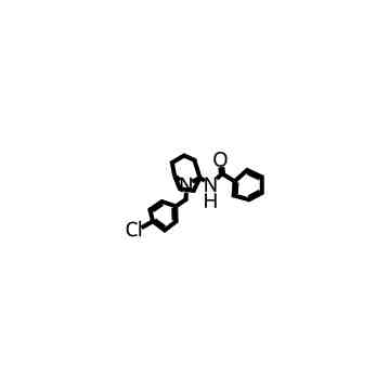 O=C(NC12CCCC(CC1)N2Cc1ccc(Cl)cc1)c1ccccc1